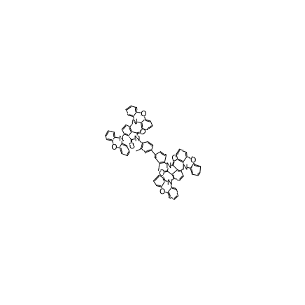 Cc1cc(-c2ccc(N3C(=O)c4c(N5c6ccccc6Oc6ccccc65)ccc(N5c6ccccc6Oc6ccccc65)c4C3=O)c(C)c2)ccc1N1C(=O)c2c(N3c4ccccc4Oc4ccccc43)ccc(N3c4ccccc4Oc4ccccc43)c2C1=O